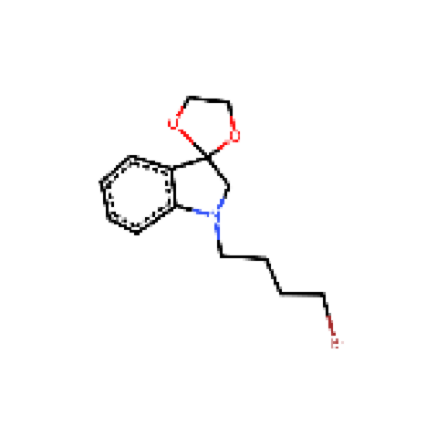 BrCCCCN1CC2(OCCO2)c2ccccc21